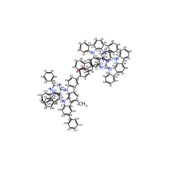 Cc1cc2c3cc(-c4ccc(-c5cccc(-n6c7ccccc7c7ccc8c9ccccc9n(-c9nc(-c%10ccc%11ccccc%11c%10)nc(-n%10c%11ccccc%11c%11ccc%12c%13ccccc%13n(-c%13ccccc%13)c%12c%11%10)n9)c8c76)c5)cc4)ccc3n(-c3nc(-c4ccccc4)nc(-c4ccccc4)n3)c2c2c1c1cc(-c3ccccc3)ccc1n2-c1ccc2ccccc2c1